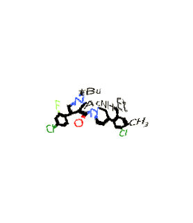 CCC(NC(C)=O)c1cc(C)c(Cl)cc1C1CCN(C(=O)C2CN(C(C)(C)C)CC2c2ccc(Cl)cc2F)CC1